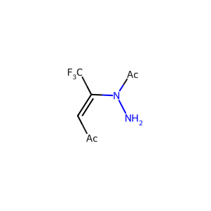 CC(=O)/C=C(\N(N)C(C)=O)C(F)(F)F